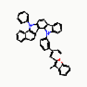 C=C/C(=C\c1oc2ccccc2c1C)c1cccc(-n2c3ccccc3c3ccc4c(c5ccc6ccccc6c5n4-c4ccccc4)c32)c1